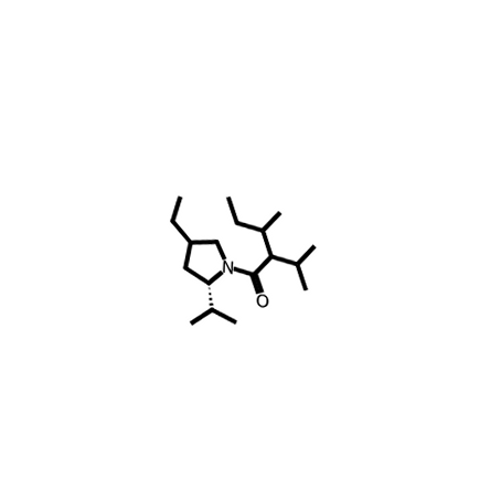 CCC1C[C@@H](C(C)C)N(C(=O)C(C(C)C)C(C)CC)C1